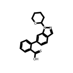 OC(=S)c1ccccc1-c1ccc2cnn(C3CCCCO3)c2c1